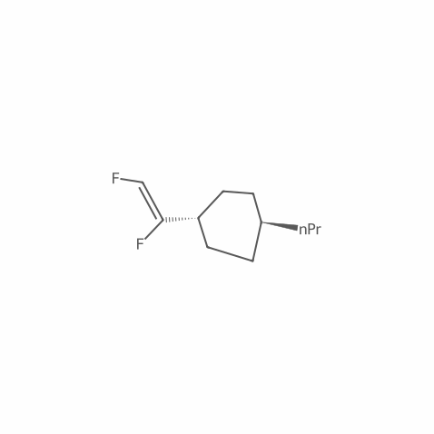 CCC[C@H]1CC[C@H](C(F)=CF)CC1